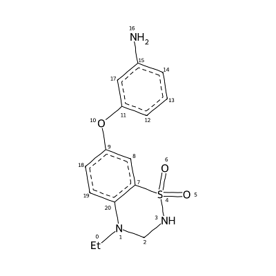 CCN1CNS(=O)(=O)c2cc(Oc3cccc(N)c3)ccc21